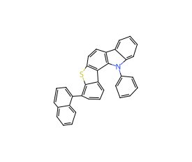 c1ccc(-n2c3ccccc3c3ccc4sc5c(-c6cccc7ccccc67)cccc5c4c32)cc1